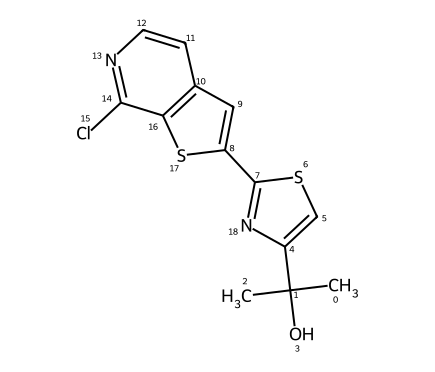 CC(C)(O)c1csc(-c2cc3ccnc(Cl)c3s2)n1